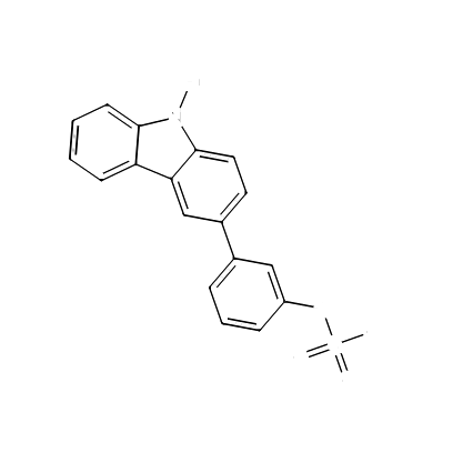 CCn1c2ccccc2c2cc(-c3cccc(OS(=O)(=O)C(F)(F)F)c3)ccc21